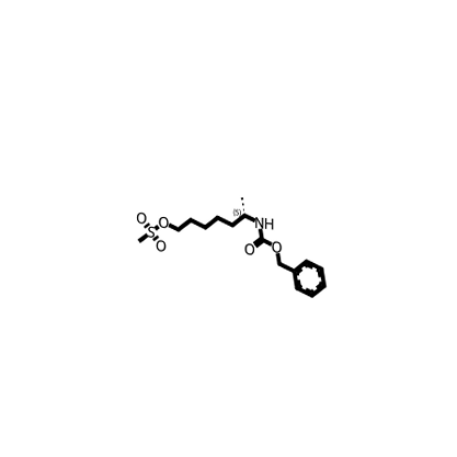 C[C@@H](CCCCCOS(C)(=O)=O)NC(=O)OCc1ccccc1